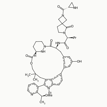 CCn1c(-c2cccnc2[C@H](C)OC)c2c3cc(ccc31)-c1cc(O)cc(c1)C[C@H](NC(=O)[C@H](C(C)C)N1CCC3(CN(C(=O)[C@@H]4CN4)C3)C1=O)C(=O)N1CCC[C@H](N1)C(=O)OCC(C)(C)C2